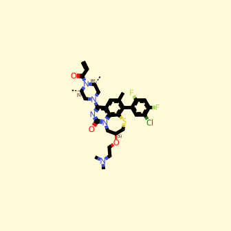 C=CC(=O)N1[C@H](C)CN(c2nc(=O)n3c4c(c(-c5cc(Cl)c(F)cc5F)c(C)cc24)SC[C@@H](OCCN(C)C)C3)C[C@@H]1C